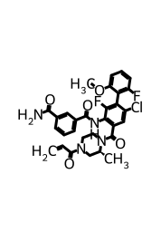 C=CC(=O)N1CCN(C(=O)c2cc(Cl)c(-c3c(F)cccc3OC)c(F)c2NC(=O)c2cccc(C(N)=O)c2)[C@@H](C)C1